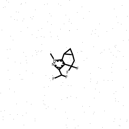 Cn1nc(C(F)F)c2c1C1CC1CC2(F)F